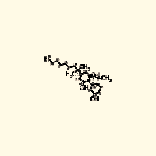 CC(C)[C@@H]1CCC(O)C[C@H]1c1c(O)cc(C(C)(C)CCCCCCBr)cc1O